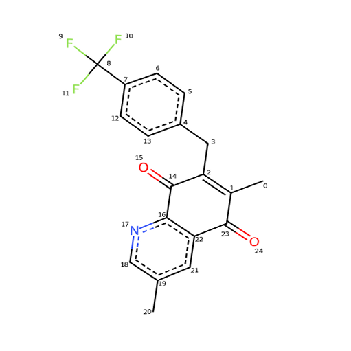 CC1=C(Cc2ccc(C(F)(F)F)cc2)C(=O)c2ncc(C)cc2C1=O